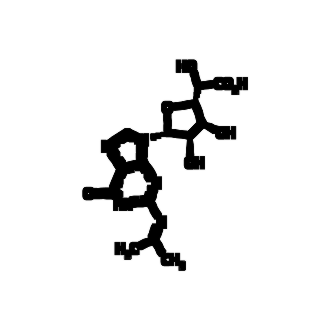 CC(C)=Nc1nc2c(ncn2[C@@H]2O[C@H](C(O)C(=O)O)[C@@H](O)[C@H]2O)c(=O)[nH]1